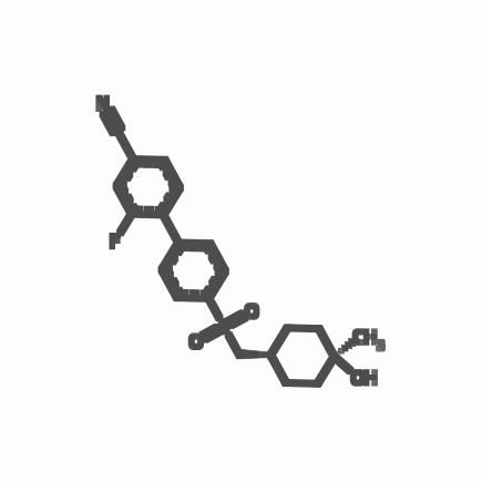 C[C@]1(O)CC[C@@H](CS(=O)(=O)c2ccc(-c3ccc(C#N)cc3F)cc2)CC1